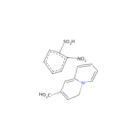 O=C(O)C1=CCN2C=CC=CC2=C1.O=[N+]([O-])c1ccccc1S(=O)(=O)O